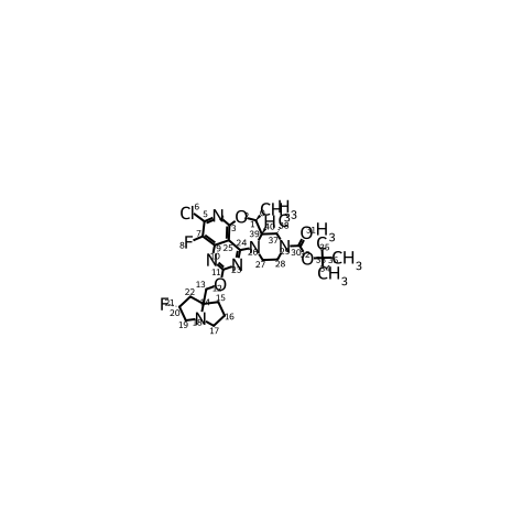 C[C@@H]1Oc2nc(Cl)c(F)c3nc(OCC45CCCN4C[C@H](F)C5)nc(c23)N2CCN(C(=O)OC(C)(C)C)[C@@H](C)[C@@H]12